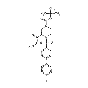 CC(C)(C)OC(=O)N1CCN(S(=O)(=O)c2ccc(-c3ccc(F)cc3)cc2)[C@@H](C(=O)ON)C1